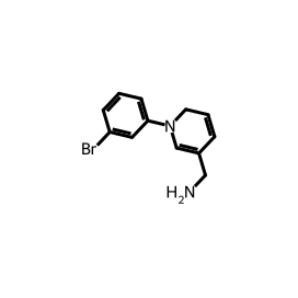 NCC1=CN(c2cccc(Br)c2)CC=C1